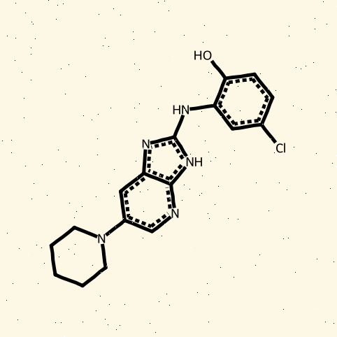 Oc1ccc(Cl)cc1Nc1nc2cc(N3CCCCC3)cnc2[nH]1